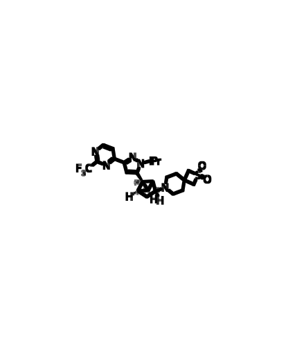 CC(C)n1nc(-c2ccnc(C(F)(F)F)n2)cc1[C@]12C3[C@H](N4CCC5(CC4)CS(=O)(=O)C5)C[C@@H]1[C@H]32